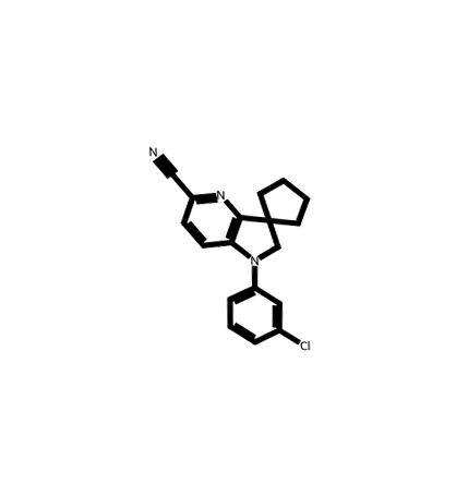 N#Cc1ccc2c(n1)C1(CCCC1)CN2c1cccc(Cl)c1